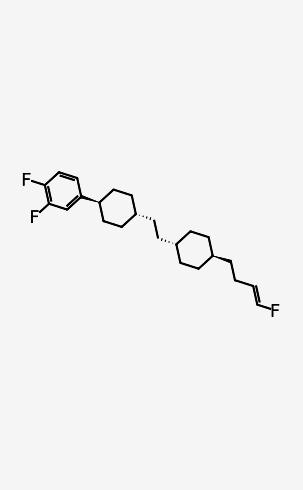 F/C=C/CC[C@H]1CC[C@H](CC[C@H]2CC[C@H](c3ccc(F)c(F)c3)CC2)CC1